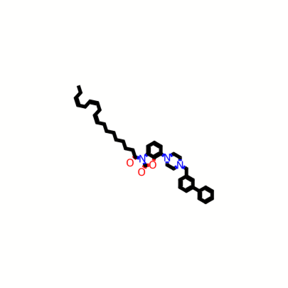 CC/C=C\C/C=C\C/C=C\CCCCCCCC(=O)n1c(=O)oc2c(N3CCN(Cc4cccc(-c5ccccc5)c4)CC3)cccc21